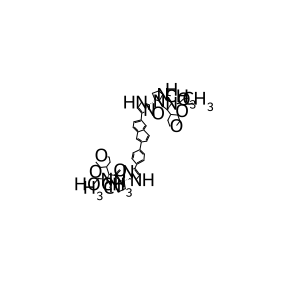 COC(=O)N[C@H](C(=O)N1[C@H](c2nc(-c3ccc4cc(-c5ccc(-c6c[nH]c([C@@H]7CCN(C)N7C(=O)[C@H](C7CCOCC7)N(C)C(=O)O)n6)cc5)ccc4c3)c[nH]2)CCN1C)C1CCOCC1